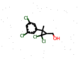 CC1(c2cc(Cl)cc(Cl)c2)C(CO)C1(Cl)Cl